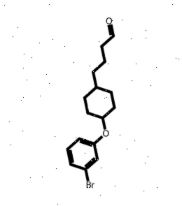 O=CCCCC1CCC(Oc2cccc(Br)c2)CC1